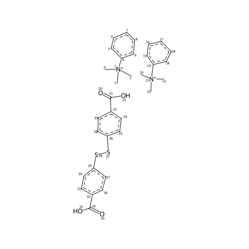 C[N+](C)(C)c1ccccc1.C[N+](C)(C)c1ccccc1.O=C(O)c1ccc(SSc2ccc(C(=O)O)cc2)cc1